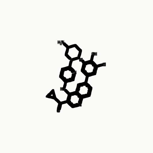 NC1CCCN(c2ccc(Nc3c(C(=O)C4CC4)cnc4ccc(-c5cc(Cl)c(O)c(Cl)c5)cc34)cn2)C1